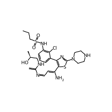 C=C(/N=C\C=C(/N)c1sc(N2CCNCC2)nc1-c1cccc(NS(=O)(=O)CCC)c1Cl)NC[C@H](C)O